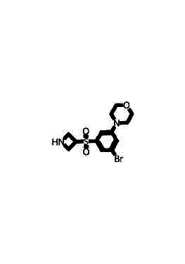 O=S(=O)(c1cc(Br)cc(N2CCOCC2)c1)C1CNC1